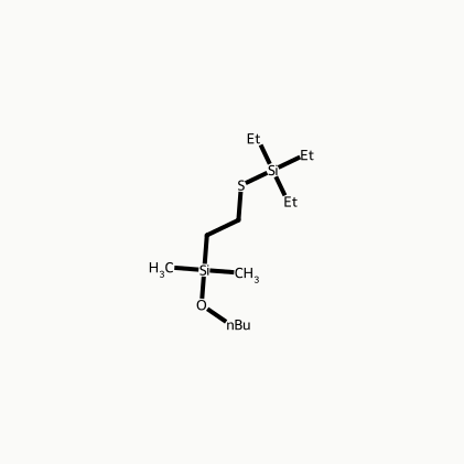 CCCCO[Si](C)(C)CCS[Si](CC)(CC)CC